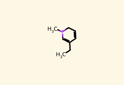 CCC1=CI(C)CC=C1